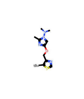 Cc1nc(OCc2ncsc2C(C)(C)C)cn1N(C)C